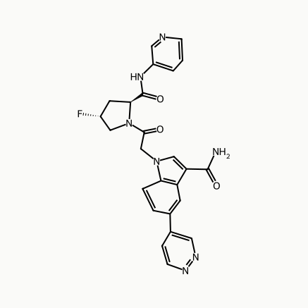 NC(=O)c1cn(CC(=O)N2C[C@H](F)C[C@H]2C(=O)Nc2cccnc2)c2ccc(-c3ccnnc3)cc12